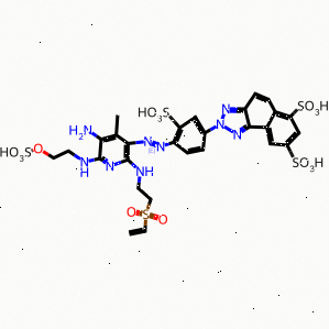 C=CS(=O)(=O)CCNc1nc(NCCOS(=O)(=O)O)c(N)c(C)c1/N=N/c1ccc(-n2nc3ccc4c(S(=O)(=O)O)cc(S(=O)(=O)O)cc4c3n2)cc1S(=O)(=O)O